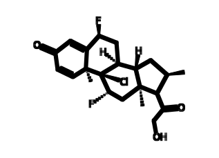 C[C@@H]1C[C@H]2[C@@H]3C[C@H](F)C4=CC(=O)C=C[C@]4(C)[C@@]3(Cl)[C@@H](F)C[C@]2(C)C1C(=O)CO